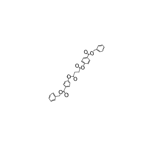 O=C(CCC(=O)Oc1ccc(C(=O)OCc2ccccc2)cc1)Oc1ccc(C(=O)OCc2ccccc2)cc1